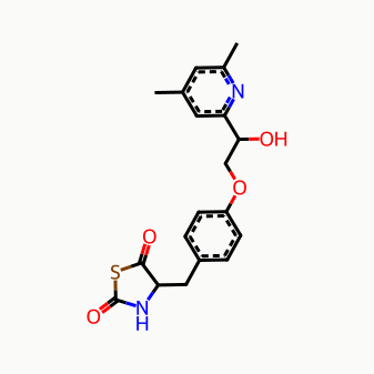 Cc1cc(C)nc(C(O)COc2ccc(CC3NC(=O)SC3=O)cc2)c1